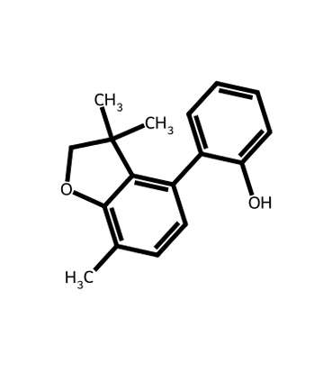 Cc1ccc(-c2ccccc2O)c2c1OCC2(C)C